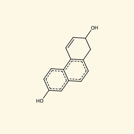 Oc1ccc2c3c(ccc2c1)CC(O)C=C3